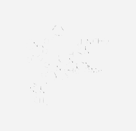 CO/N=C(\C(=O)NC1C(=O)N2C(C(=O)OCOC(=O)[C@@H]3CCCN3C(=O)OCc3ccccc3)=C(CSc3nc(C)ns3)CS[C@@H]12)c1csc(NC=O)n1